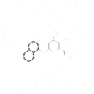 OC[C@H]1O[C@@H](Oc2cccc3ccccc23)[C@H](O)[C@@H](O)[C@@H]1O